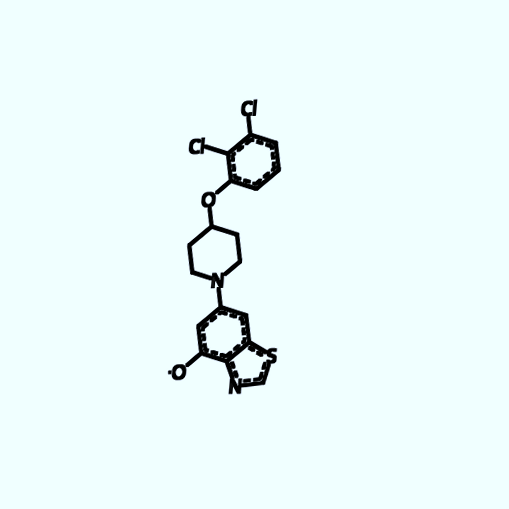 [O]c1cc(N2CCC(Oc3cccc(Cl)c3Cl)CC2)cc2scnc12